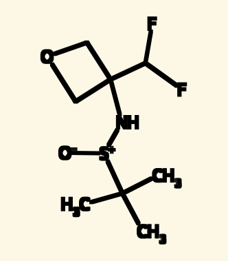 CC(C)(C)[S+]([O-])NC1(C(F)F)COC1